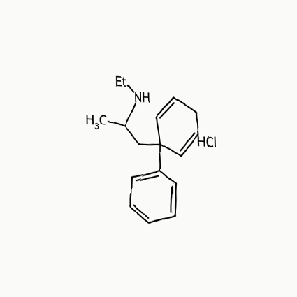 CCNC(C)CC1(c2ccccc2)C=CCC=C1.Cl